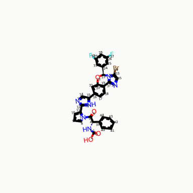 O=C(O)N[C@H](C(=O)n1cccc1-c1ncc(-c2ccc3c(c2)O[C@@H](c2cc(F)cc(F)c2)n2c(Br)cnc2-3)[nH]1)c1ccccc1